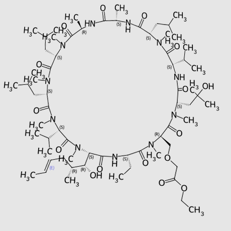 C/C=C/C[C@@H](C)[C@@H](O)[C@H]1C(=O)N[C@@H](CC)C(=O)N(C)[C@H](COCC(=O)OCC)C(=O)N(C)[C@@H](CC(C)(C)O)C(=O)N[C@@H](C(C)C)C(=O)N(C)[C@@H](CC(C)C)C(=O)N[C@@H](C)C(=O)N[C@H](C)C(=O)N(C)[C@@H](CC(C)C)C(=O)N(C)[C@@H](CC(C)C)C(=O)N(C)[C@@H](C(C)C)C(=O)N1C